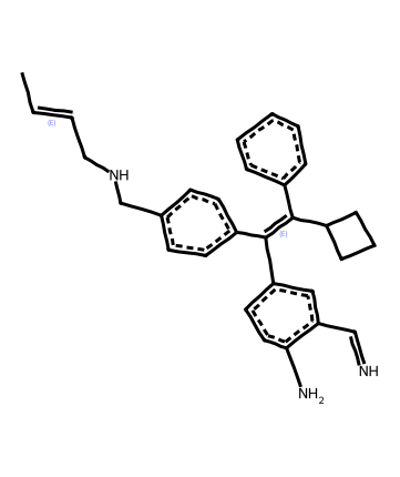 C/C=C/CNCc1ccc(/C(=C(\c2ccccc2)C2CCC2)c2ccc(N)c(C=N)c2)cc1